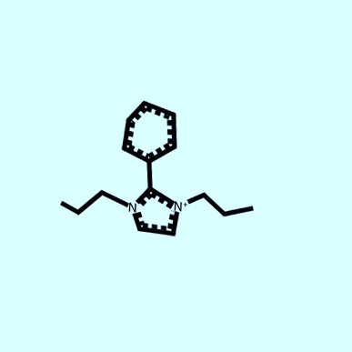 CCCn1cc[n+](CCC)c1-c1ccccc1